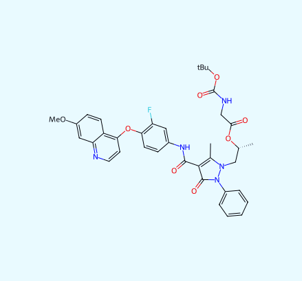 COc1ccc2c(Oc3ccc(NC(=O)c4c(C)n(C[C@@H](C)OC(=O)CNC(=O)OC(C)(C)C)n(-c5ccccc5)c4=O)cc3F)ccnc2c1